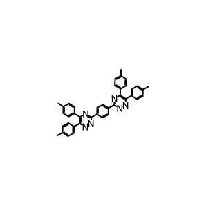 Cc1ccc(-c2nnc(-c3ccc(-c4nnc(-c5ccc(C)cc5)c(-c5ccc(C)cc5)n4)cc3)nc2-c2ccc(C)cc2)cc1